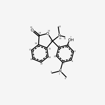 CN(C)c1ccc(O)c(C2(N(C)C)OC(=O)c3ccccc32)c1